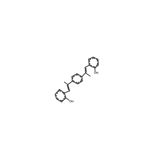 CC(=Cc1ccccc1O)c1ccc(C(C)=Cc2ccccc2O)cc1